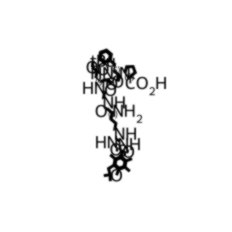 Cc1c(C)c(S(=O)(=O)NC(=N)NCCC[C@H](N)C(=O)NCC(=O)N[C@@H](CC(=O)OC(C)(C)C)C(=O)N[C@@H](Cc2ccccc2)C(=O)N2CCC[C@H]2C(=O)O)c(C)c2c1OC(C)(C)C2